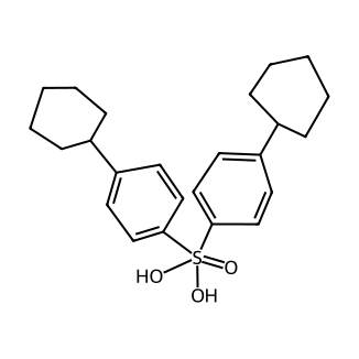 O=S(O)(O)(c1ccc(C2CCCCC2)cc1)c1ccc(C2CCCCC2)cc1